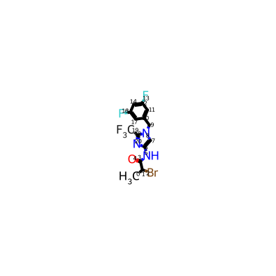 CC(Br)C(=O)Nc1cn(Cc2cc(F)cc(F)c2)c(C(F)(F)F)n1